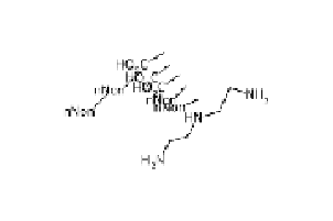 CC(=O)O.CC(=O)O.CC(=O)O.CCCCCCCCCC.CCCCCCCCCC.CCCCCCCCCC.CCCCCCCCCC.NCCNCCN